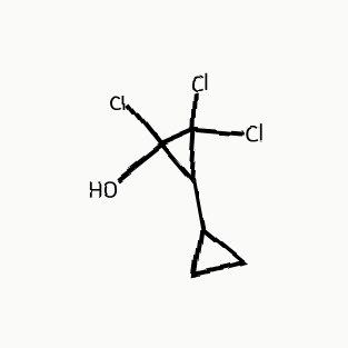 OC1(Cl)C(C2CC2)C1(Cl)Cl